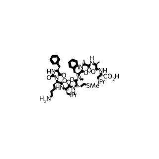 CSCC[C@H](NC(=O)[C@H](CC(C)C)NC(=O)[C@@H](CCCCN)N1C(=O)N[C@@H](Cc2ccccc2)C1=O)C(=O)N(C)[C@@H](Cc1ccccc1)C(=O)N[C@@H](C)C(=O)N[C@@H](C)C(=O)N[C@@H](CC(C)C)C(=O)O